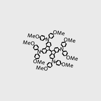 COc1ccc(N(c2ccc(OC)cc2)c2ccc3c(c2)-c2cc(N(c4ccc(OC)cc4)c4ccc(OC)cc4)ccc2C3=C2c3ccc(N(c4ccc(OC)cc4)c4ccc(OC)cc4)cc3-c3cc(N(c4ccc(OC)cc4)c4ccc(OC)cc4)ccc32)cc1